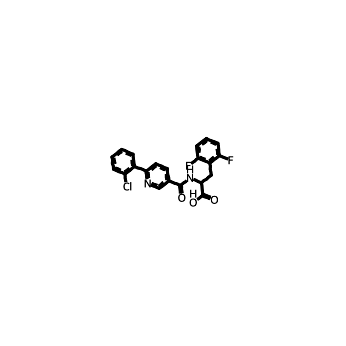 O=C(NC(Cc1c(F)cccc1F)C(=O)O)c1ccc(-c2ccccc2Cl)nc1